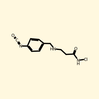 O=C=Nc1ccc(CNCCC(=O)NCl)cc1